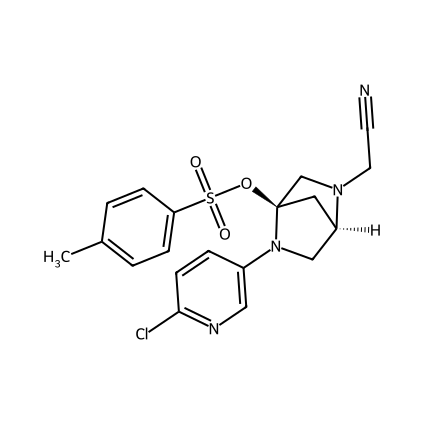 Cc1ccc(S(=O)(=O)O[C@@]23C[C@H](CN2c2ccc(Cl)nc2)N(CC#N)C3)cc1